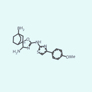 BC12CCC(CC1)[C@@]1(C2)OC(Nc2nc(-c3ccc(OC)cc3)cs2)=NC1N